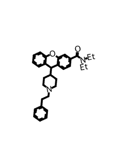 CCN(CC)C(=O)c1ccc2c(c1)Oc1ccccc1C2C1CCN(CCc2ccccc2)CC1